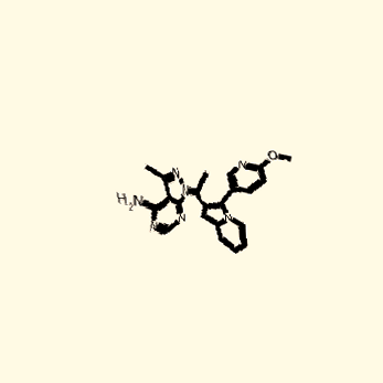 COc1ccc(-c2c(C(C)n3nc(C)c4c(N)ncnc43)cc3ccccn23)cn1